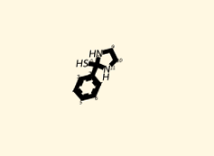 SC1(c2ccccc2)NCCN1